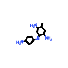 C=C1C=C(N)/C(=N/c2ccc(N)cc2)C=C1N